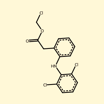 O=C(Cc1ccccc1Nc1c(Cl)cccc1Cl)OCCl